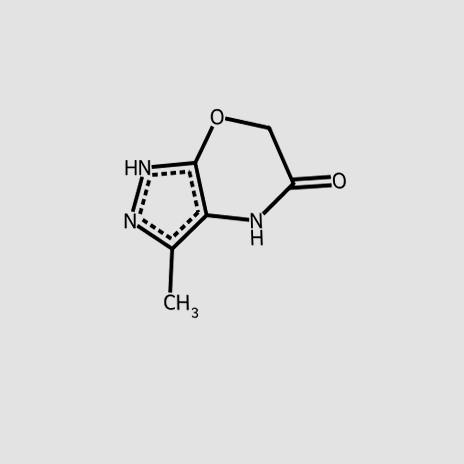 Cc1n[nH]c2c1NC(=O)CO2